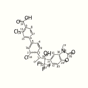 CC(c1ccc(-c2ccc(C(=O)O)c(Cl)c2)cc1Cl)C(O)(c1ccc2oc(=O)n(C)c2c1)C(F)(F)F